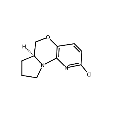 Clc1ccc2c(n1)N1CCC[C@H]1CO2